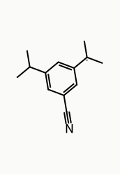 C[C](C)c1cc(C#N)cc(C(C)C)c1